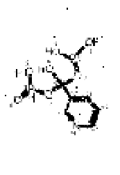 O=[PH](O)OC(O)(OP(O)O)c1cccnc1